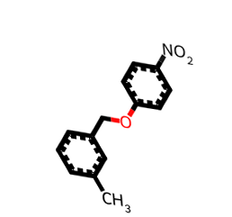 Cc1cccc(COc2ccc([N+](=O)[O-])cc2)c1